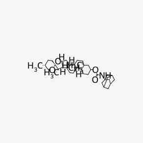 C[C@@H]1CC[C@@]2(OC1)O[C@H]1C[C@H]3[C@@H]4CC=C5C[C@@H](OC(=O)NC67CC8CC(CC(C8)C6)C7)CC[C@]5(C)[C@H]4CC[C@]3(C)[C@H]1[C@@H]2C